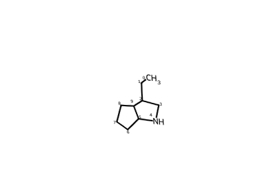 CCC1CNC2CCCC12